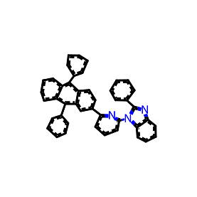 c1ccc(-c2c3ccccc3c(-c3ccccc3)c3cc(-c4cccc(-n5c(-c6ccccc6)nc6ccccc65)n4)ccc23)cc1